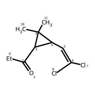 CCC(=O)C1C(C=C(Cl)Cl)C1(C)C